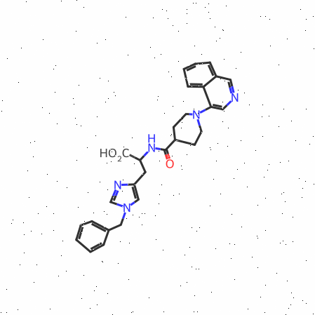 O=C(NC(Cc1cn(Cc2ccccc2)cn1)C(=O)O)C1CCN(c2cncc3ccccc23)CC1